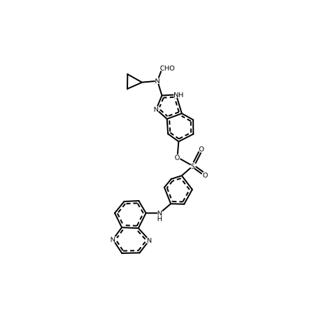 O=CN(c1nc2cc(OS(=O)(=O)c3ccc(Nc4cccc5nccnc45)cc3)ccc2[nH]1)C1CC1